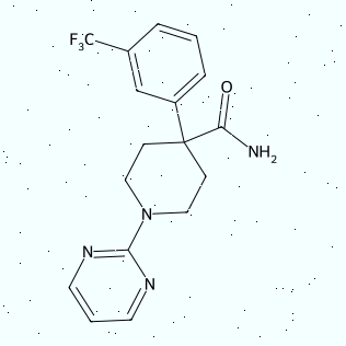 NC(=O)C1(c2cccc(C(F)(F)F)c2)CCN(c2ncccn2)CC1